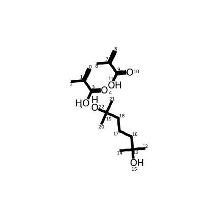 C=C(C)C(=O)O.C=C(C)C(=O)O.CC(C)(O)CCCC(C)(C)O